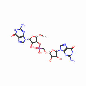 CO[C@H]1O[C@@H](n2cnc3c(=O)[nH]c(N)nc32)C(O)C1OP(=O)(O)CO[C@H]1O[C@@H](n2cnc3c(=O)[nH]c(N)nc32)C(O)C1O